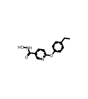 CCc1ccc(Oc2ccc(C(=O)NO)cn2)cc1